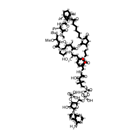 CC[C@H](C)[C@@H]([C@@H](CC(=O)N1CCC[C@H]1[C@H](OC)[C@@H](C)C(=O)N[C@@H](Cc1ccccc1)C(=O)O)OC)N(C)C(=O)[C@@H](NC(=O)[C@@H]1[C@H]2CC[C@@H]([C@H]2C)N1C(=O)CCCCCN1C(=O)CC(SCCNC(=O)CCNC(=O)[C@H](O)C(C)(C)COP(=O)(O)OP(=O)(O)OC[C@H]2O[C@@H](n3cnc4c(N)ncnc43)[C@@H](O)[C@H]2OP(=O)(O)O)C1=O)C(C)C